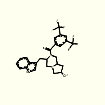 O=C(c1cc(C(F)(F)F)cc(C(F)(F)F)c1)N1CC2CC(O)CN2CC1Cc1c[nH]c2ccccc12